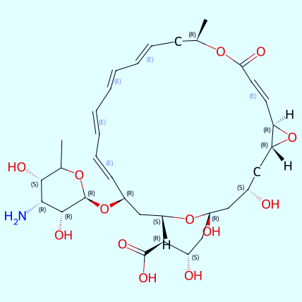 CC1O[C@@H](O[C@H]2/C=C/C=C/C=C/C=C/C[C@@H](C)OC(=O)/C=C/[C@H]3O[C@@H]3C[C@H](O)C[C@]3(O)C[C@H](O)[C@@H](C(=O)O)[C@H](C2)O3)[C@H](O)[C@H](N)[C@@H]1O